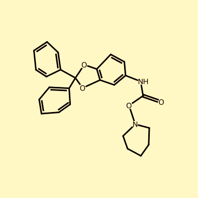 O=C(Nc1ccc2c(c1)OC(c1ccccc1)(c1ccccc1)O2)ON1CCCCC1